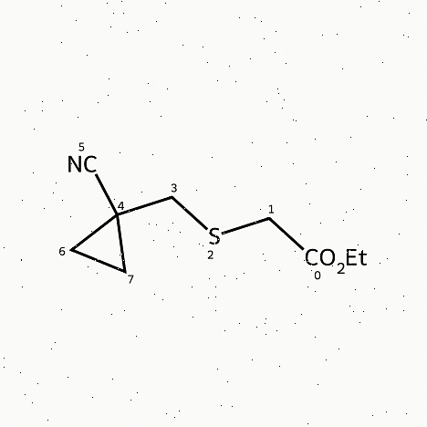 CCOC(=O)CSCC1(C#N)CC1